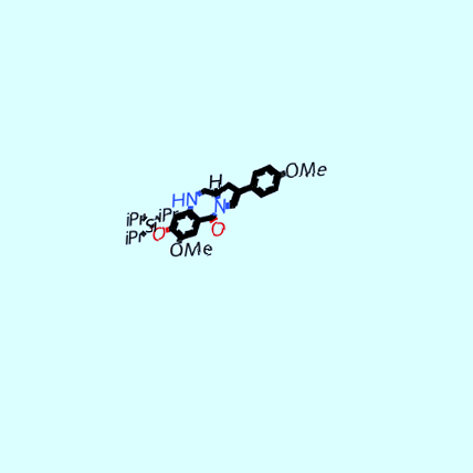 COc1ccc(C2=CN3C(=O)c4cc(OC)c(O[Si](C(C)C)(C(C)C)C(C)C)cc4NC[C@@H]3C2)cc1